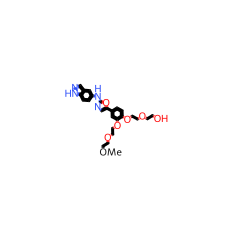 COCCOCCOc1cc(-c2cnc(Nc3ccc4[nH]ncc4c3)o2)ccc1OCCOCCO